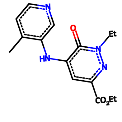 CCOC(=O)c1cc(Nc2cnccc2C)c(=O)n(CC)n1